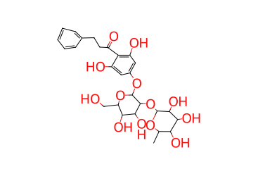 CC1OC(OC2C(Oc3cc(O)c(C(=O)CCc4ccccc4)c(O)c3)OC(CO)C(O)C2O)C(O)C(O)C1O